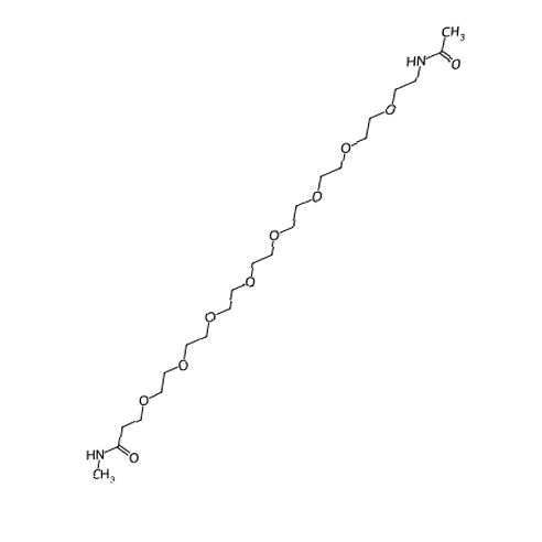 CNC(=O)CCOCCOCCOCCOCCOCCOCCOCCOCCNC(C)=O